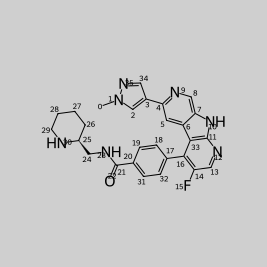 Cn1cc(-c2cc3c(cn2)[nH]c2ncc(F)c(-c4ccc(C(=O)NC[C@@H]5CCCCN5)cc4)c23)cn1